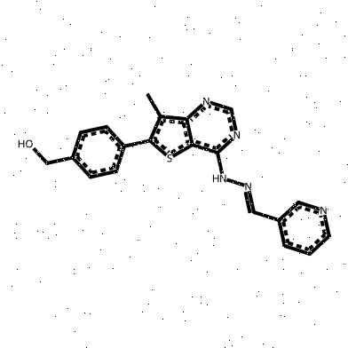 Cc1c(-c2ccc(CO)cc2)sc2c(NN=Cc3cccnc3)ncnc12